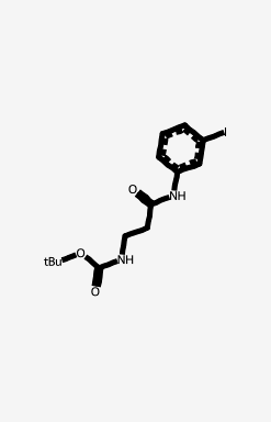 CC(C)(C)OC(=O)NCCC(=O)Nc1cccc(I)c1